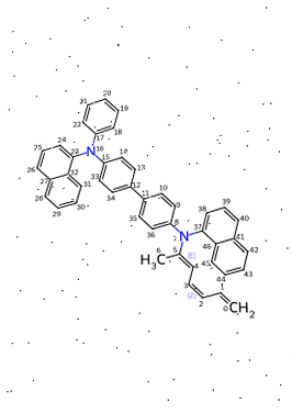 C=C/C=C\C=C(/C)N(c1ccc(-c2ccc(N(c3ccccc3)c3cccc4ccccc34)cc2)cc1)c1cccc2ccccc12